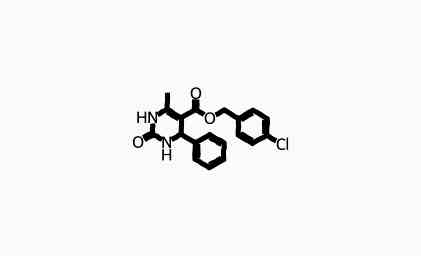 CC1=C(C(=O)OCc2ccc(Cl)cc2)C(c2ccccc2)NC(=O)N1